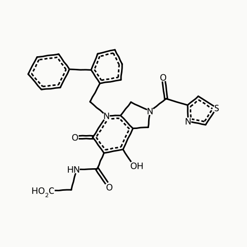 O=C(O)CNC(=O)c1c(O)c2c(n(Cc3ccccc3-c3ccccc3)c1=O)CN(C(=O)c1cscn1)C2